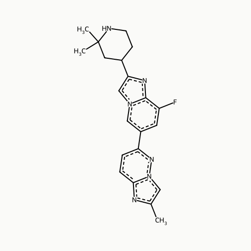 Cc1cn2nc(-c3cc(F)c4nc(C5CCNC(C)(C)C5)cn4c3)ccc2n1